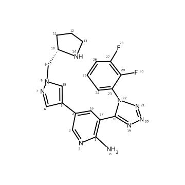 Nc1ncc(-c2cnn(C[C@@H]3CCCN3)c2)cc1-c1nnnn1-c1cccc(F)c1F